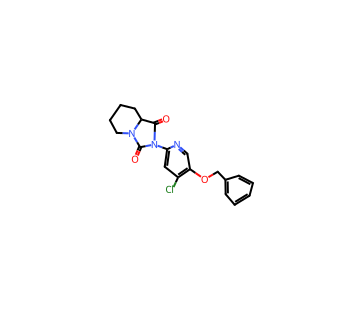 O=C1C2CCCCN2C(=O)N1c1cc(Cl)c(OCc2ccccc2)cn1